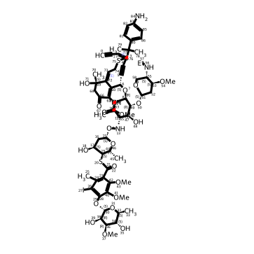 C#C/C=C\C#C[C@H](O[C@@H]1O[C@H](C)[C@@H](NO[C@H]2C[C@H](O)[C@H](SC(=O)c3c(C)c(I)c(O[C@@H]4O[C@@H](C)[C@H](O)[C@@H](OC)[C@H]4O)c(OC)c3OC)[C@@H](C)O2)[C@H](O)[C@H]1O[C@H]1C[C@H](OC)[C@@H](NCC)CO1)C1=C(NC(=O)OC)C(=O)C[C@](C)(O)/C1=C/CSSC(C)(C)c1ccc(N)cc1